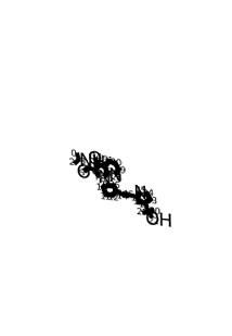 CC(C)NC(=O)c1cn(-c2cccc(C#Cc3cc(C(C)(C)O)ccn3)c2)c2ncccc2c1=O